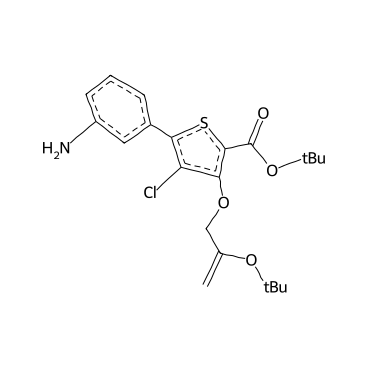 C=C(COc1c(C(=O)OC(C)(C)C)sc(-c2cccc(N)c2)c1Cl)OC(C)(C)C